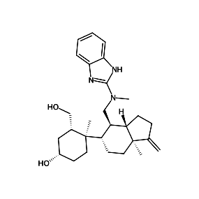 C=C1CC[C@H]2[C@H](CN(C)c3nc4ccccc4[nH]3)[C@@H]([C@@]3(C)CC[C@H](O)C[C@@H]3CO)CC[C@]12C